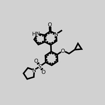 Cn1cc(-c2cc(S(=O)(=O)N3CCCC3)ccc2OCC2CC2)c2cc[nH]c2c1=O